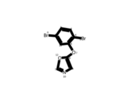 Brc1ccc(Br)c(Oc2cn[c]o2)c1